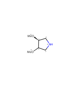 COC1CNC[C@@H]1OC